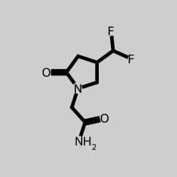 NC(=O)CN1CC(C(F)F)CC1=O